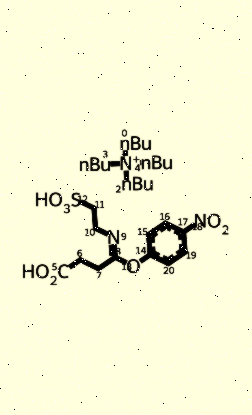 CCCC[N+](CCCC)(CCCC)CCCC.O=C(O)CCC(=NCCS(=O)(=O)O)Oc1ccc([N+](=O)[O-])cc1